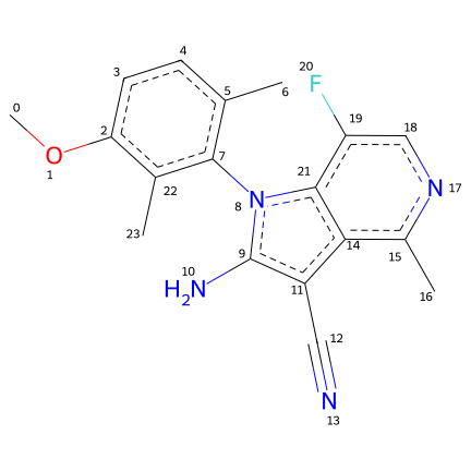 COc1ccc(C)c(-n2c(N)c(C#N)c3c(C)ncc(F)c32)c1C